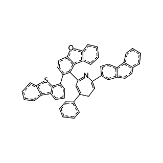 C1=C(c2ccccc2)CC=C(c2ccc3c(ccc4ccccc43)c2)N=C1c1c(-c2cccc3c2sc2ccccc23)ccc2oc3ccccc3c12